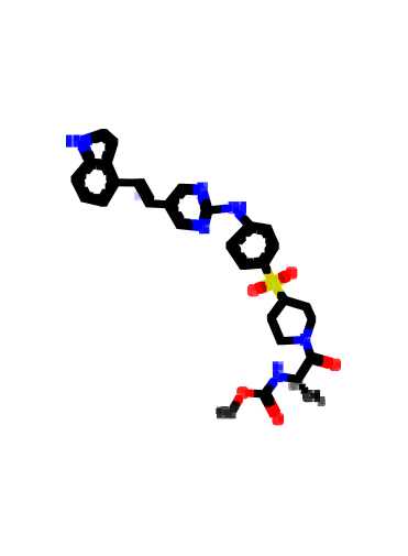 C[C@H](NC(=O)OC(C)(C)C)C(=O)N1CCC(S(=O)(=O)c2ccc(Nc3ncc(/C=C/c4cccc5[nH]ccc45)cn3)cc2)CC1